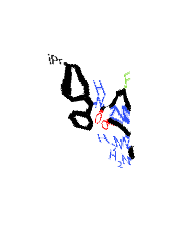 CC(C)c1ccc([C@@H](NC(=O)[C@@H]2C[C@@H](F)CN2C(=O)CN(N)/C=C\N)c2ccccc2)cc1